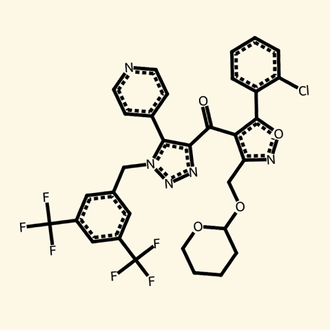 O=C(c1nnn(Cc2cc(C(F)(F)F)cc(C(F)(F)F)c2)c1-c1ccncc1)c1c(COC2CCCCO2)noc1-c1ccccc1Cl